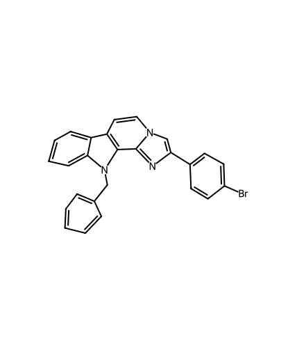 Brc1ccc(-c2cn3ccc4c5ccccc5n(Cc5ccccc5)c4c3n2)cc1